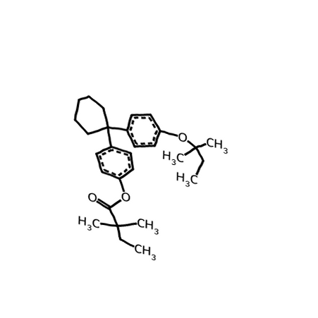 CCC(C)(C)Oc1ccc(C2(c3ccc(OC(=O)C(C)(C)CC)cc3)CCCCC2)cc1